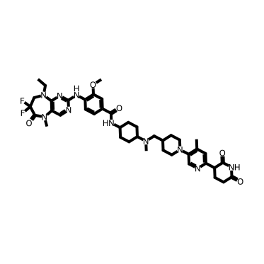 CCN1CC(F)(F)C(=O)N(C)c2cnc(Nc3ccc(C(=O)NC4CCC(N(C)CC5CCN(c6cnc(C7CCC(=O)NC7=O)cc6C)CC5)CC4)cc3OC)nc21